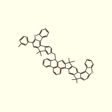 Cc1cccc(-c2cc3c(c4c2oc2ccccc24)-c2ccc(CC(c4ccc5c(c4)C(C)(C)c4cc6c(cc4-5)C(C)(C)c4ccc5oc7ccccc7c5c4-6)c4ccccc4-c4ccccc4)cc2C3(C)C)c1